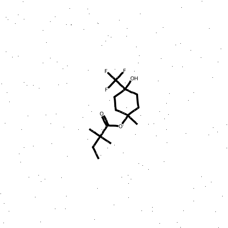 CCC(C)(C)C(=O)OC1(C)CCC(O)(C(F)(F)F)CC1